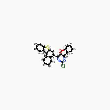 Clc1nc(-c2cc3sc4ccccc4c3c3ccccc23)c2oc3ccccc3c2n1